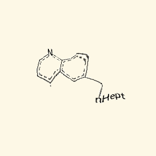 CCCCCCCCc1ccc2ncc[c]c2c1